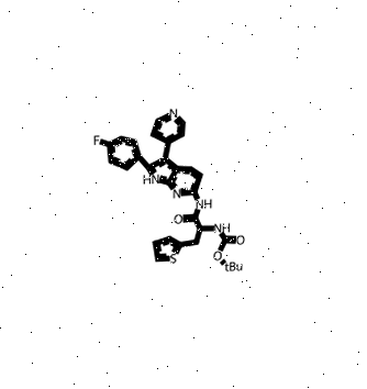 CC(C)(C)OC(=O)NC(Cc1cccs1)C(=O)Nc1ccc2c(-c3ccncc3)c(-c3ccc(F)cc3)[nH]c2n1